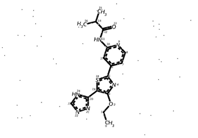 CCOc1nc(-c2ccnc(NC(=O)C(C)C)c2)sc1-c1nnc[nH]1